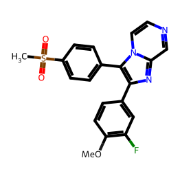 COc1ccc(-c2nc3cnccn3c2-c2ccc(S(C)(=O)=O)cc2)cc1F